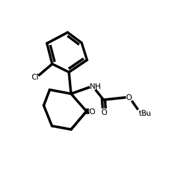 CC(C)(C)OC(=O)NC1(c2ccccc2Cl)CCCCC1=O